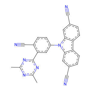 Cc1nc(C)nc(-c2cc(-n3c4cc(C#N)ccc4c4ccc(C#N)cc43)ccc2C#N)n1